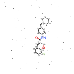 O=C(Nc1ccc([CH]C2CCCCC2)cc1)C1=Cc2cccc(F)c2OC1